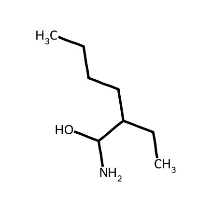 CCCCC(CC)C(N)O